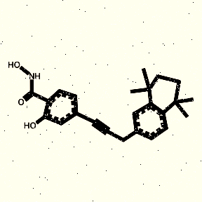 CC1(C)CCC(C)(C)c2cc(CC#Cc3ccc(C(=O)NO)c(O)c3)ccc21